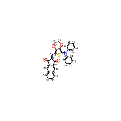 O=C1C(=Cc2sc(N(c3ccccc3)c3ccccc3)c3c2OCCO3)C(=O)c2cc3ccccc3cc21